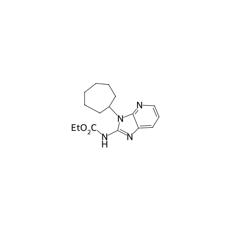 CCOC(=O)Nc1nc2cccnc2n1C1CCCCCC1